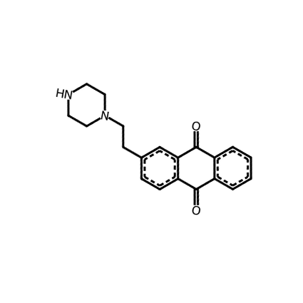 O=C1c2ccccc2C(=O)c2cc(CCN3CCNCC3)ccc21